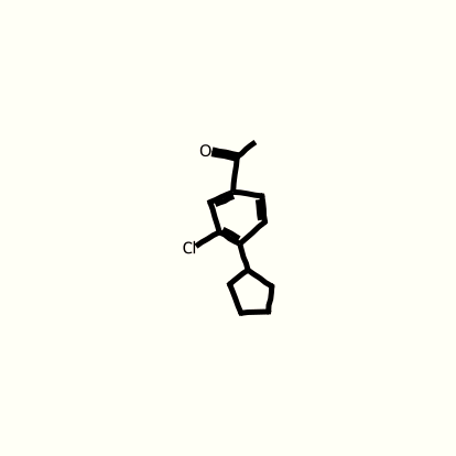 CC(=O)c1ccc(C2CCCC2)c(Cl)c1